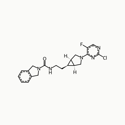 O=C(NCC[C@H]1[C@H]2CN(c3nc(Cl)ncc3F)C[C@@H]12)N1Cc2ccccc2C1